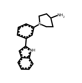 NC1CCN(c2cccc(-c3cc4ccccc4[nH]3)c2)CC1